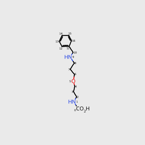 O=C(O)NCCCOCCCNCc1ccccc1